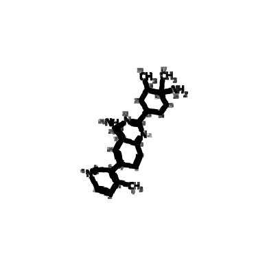 Cc1ccncc1-c1ccc2nc(C3CCC(C)(N)C(C)C3)ncc2c1.N